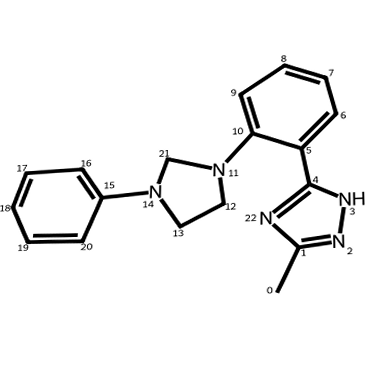 Cc1n[nH]c(-c2ccccc2N2CCN(c3ccccc3)C2)n1